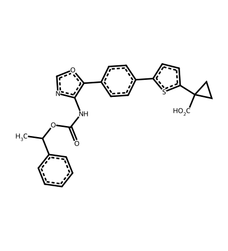 CC(OC(=O)Nc1ncoc1-c1ccc(-c2ccc(C3(C(=O)O)CC3)s2)cc1)c1ccccc1